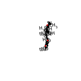 Cc1ncsc1-c1ccc([C@H](C)NC(=O)[C@@H]2C[C@@H](O)CN2C(=O)[C@@H](NC(=O)CCCNC(=O)c2ccc(N3CCN(C(=O)OC(C)(C)C)CC3)cc2)C(C)(C)C)cc1